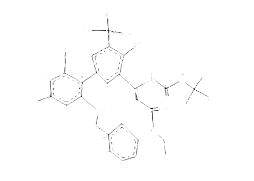 CCOC(=O)C[C@H](NC(=O)OC(C)(C)C)c1cc(-c2c(C)cc(C)cc2OCc2ccccc2)cc(C(F)(F)F)c1F